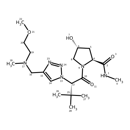 CNC(=O)[C@@H]1C[C@@H](O)CN1C(=O)[C@@H](n1cc(CN(C)CCOC)nn1)C(C)(C)C